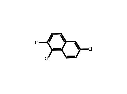 Clc1ccc2c(Cl)c(Cl)ccc2c1